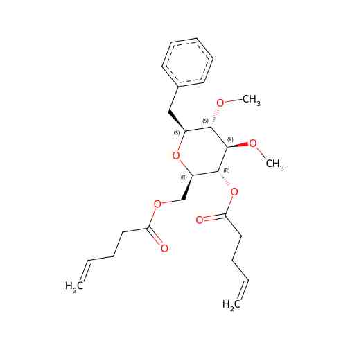 C=CCCC(=O)OC[C@H]1O[C@@H](Cc2ccccc2)[C@H](OC)[C@@H](OC)[C@@H]1OC(=O)CCC=C